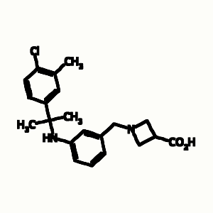 Cc1cc(C(C)(C)Nc2cccc(CN3CC(C(=O)O)C3)c2)ccc1Cl